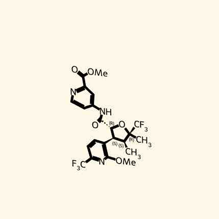 COC(=O)c1cc(NC(=O)[C@@H]2O[C@@](C)(C(F)(F)F)[C@@H](C)[C@H]2c2ccc(C(F)(F)F)nc2OC)ccn1